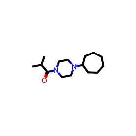 CC(C)C(=O)N1CCN(C2CCCCCC2)CC1